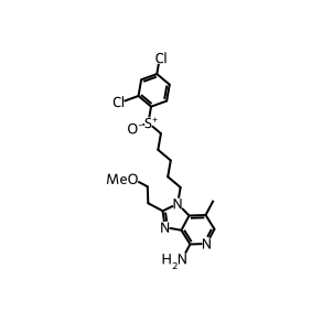 COCCc1nc2c(N)ncc(C)c2n1CCCCC[S+]([O-])c1ccc(Cl)cc1Cl